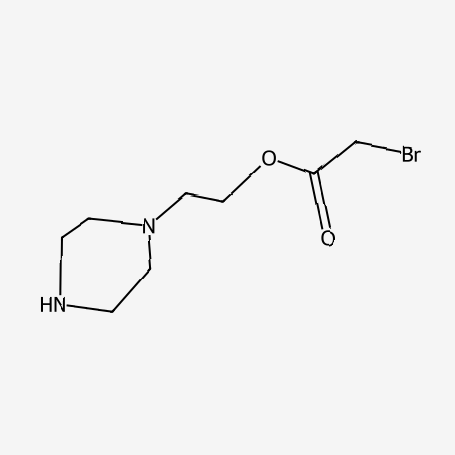 O=C(CBr)OCCN1CCNCC1